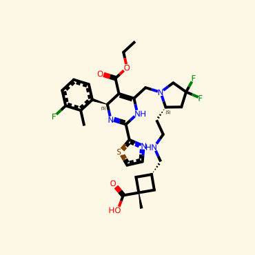 CCOC(=O)C1=C(CN2CC(F)(F)C[C@@H]2CCNC[C@H]2C[C@@](C)(C(=O)O)C2)NC(c2nccs2)=N[C@H]1c1cccc(F)c1C